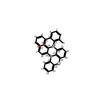 Cc1cccc(-c2ccccc2)c1N1c2ccccc2B2c3ccccc3Oc3cccc1c32